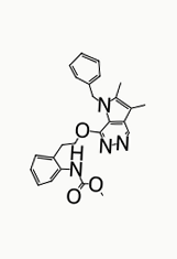 COC(=O)Nc1ccccc1CCOc1nncc2c(C)c(C)n(Cc3ccccc3)c12